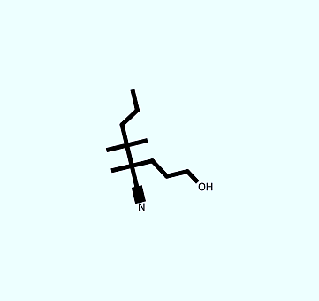 CCCC(C)(C)C(C)(C#N)CCCO